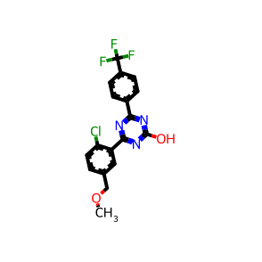 COCc1ccc(Cl)c(-c2nc(O)nc(-c3ccc(C(F)(F)F)cc3)n2)c1